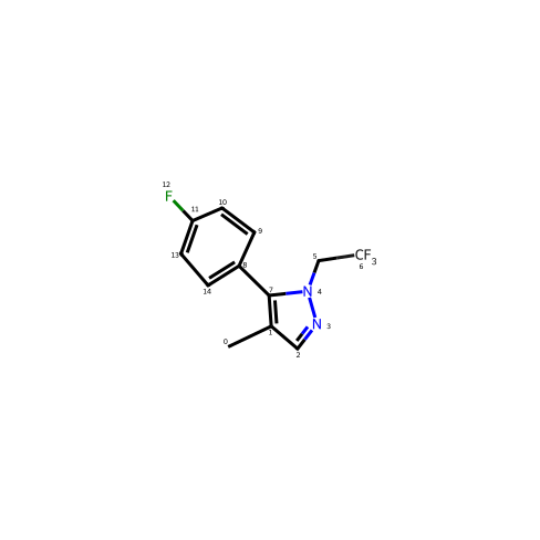 Cc1cnn(CC(F)(F)F)c1-c1ccc(F)cc1